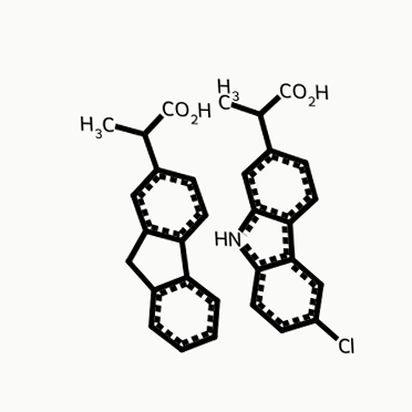 CC(C(=O)O)c1ccc2c(c1)Cc1ccccc1-2.CC(C(=O)O)c1ccc2c(c1)[nH]c1ccc(Cl)cc12